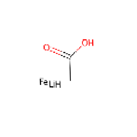 CC(=O)O.[Fe].[LiH]